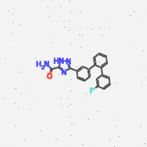 NC(=O)c1nc(-c2cccc(-c3ccccc3-c3cccc(F)c3)c2)n[nH]1